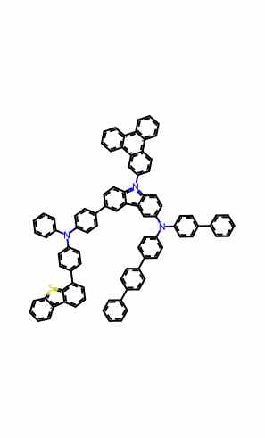 c1ccc(-c2ccc(-c3ccc(N(c4ccc(-c5ccccc5)cc4)c4ccc5c(c4)c4cc(-c6ccc(N(c7ccccc7)c7ccc(-c8cccc9c8sc8ccccc89)cc7)cc6)ccc4n5-c4ccc5c6ccccc6c6ccccc6c5c4)cc3)cc2)cc1